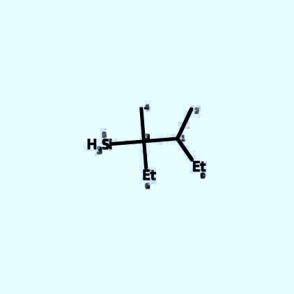 CCC(C)C(C)([SiH3])CC